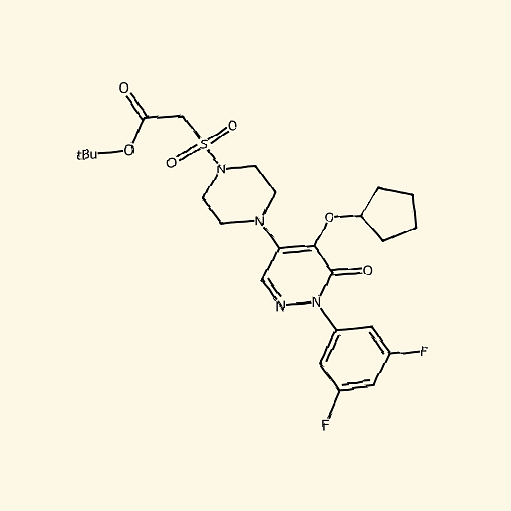 CC(C)(C)OC(=O)CS(=O)(=O)N1CCN(c2cnn(-c3cc(F)cc(F)c3)c(=O)c2OC2CCCC2)CC1